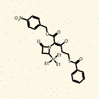 CC[N+](CC)(CC)C1CC(=O)N1/C(C(=O)OCc1ccc([N+](=O)[O-])cc1)=C(/[O-])CCSC(=O)c1ccccc1